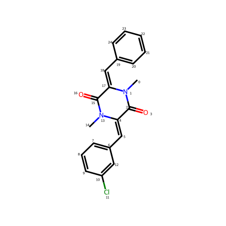 Cn1c(=O)c(=Cc2cccc(Cl)c2)n(C)c(=O)c1=Cc1ccccc1